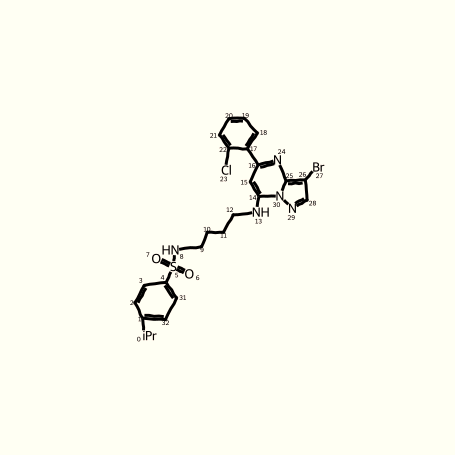 CC(C)c1ccc(S(=O)(=O)NCCCCNc2cc(-c3ccccc3Cl)nc3c(Br)cnn23)cc1